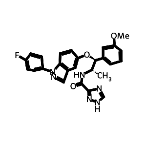 COc1cccc([C@H](Oc2ccc3c(cnn3-c3ccc(F)cc3)c2)[C@H](C)NC(=O)c2nc[nH]n2)c1